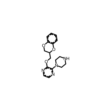 c1ccc2c(c1)OCC(COc1nccnc1N1CCNCC1)O2